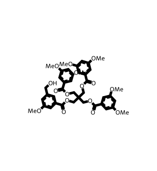 COc1cc(CO)cc(C(=O)OCC(COC(=O)c2cc(OC)cc(OC)c2)(COC(=O)c2cc(OC)cc(OC)c2)COC(=O)c2cc(OC)cc(OC)c2)c1